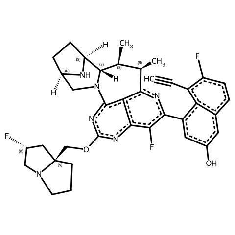 C#Cc1c(F)ccc2cc(O)cc(-c3nc4c5c(nc(OC[C@@]67CCCN6C[C@H](F)C7)nc5c3F)N3C[C@H]5CC[C@H](N5)[C@@H]3[C@@H](C)[C@H]4C)c12